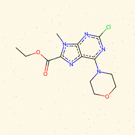 CCOC(=O)c1nc2c(N3CCOCC3)nc(Cl)nc2n1C